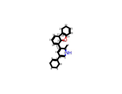 CC1NC=C(C2=CCCCC2)C=C1C1=CC=CC2C3=C(C=CCC3)OC12